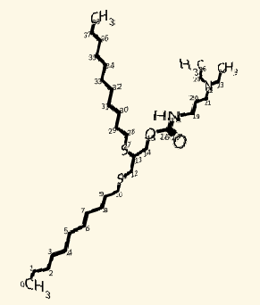 CCCCCCCCCCCSCC(COC(=O)NCCCN(CC)CC)SCCCCCCCCCCC